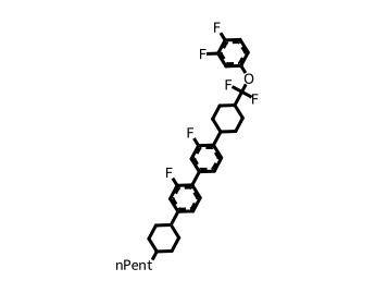 CCCCCC1CCC(c2ccc(-c3ccc(C4CCC(C(F)(F)Oc5ccc(F)c(F)c5)CC4)c(F)c3)c(F)c2)CC1